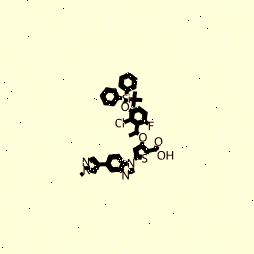 CC(Oc1cc(-n2cnc3cc(-c4cnn(C)c4)ccc32)sc1C(=O)O)c1c(F)ccc(O[Si](c2ccccc2)(c2ccccc2)C(C)(C)C)c1Cl